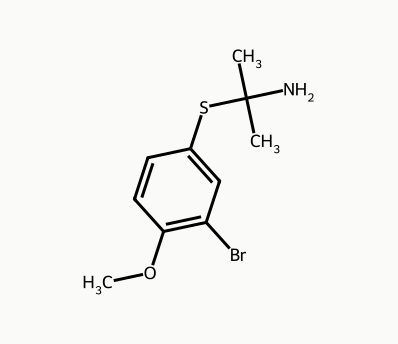 COc1ccc(SC(C)(C)N)cc1Br